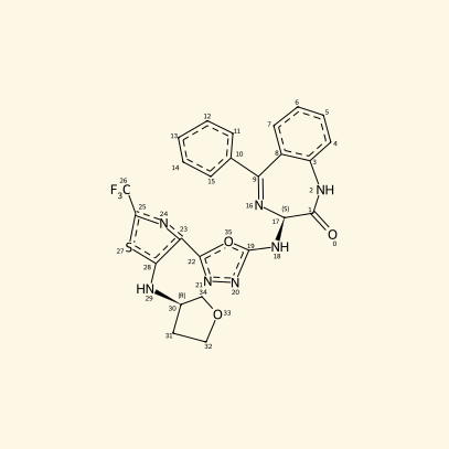 O=C1Nc2ccccc2C(c2ccccc2)=N[C@@H]1Nc1nnc(-c2nc(C(F)(F)F)sc2N[C@@H]2CCOC2)o1